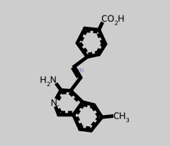 Cc1ccc2cnc(N)c(/C=C/c3ccc(C(=O)O)cc3)c2c1